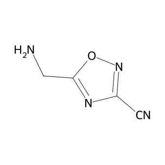 N#Cc1noc(CN)n1